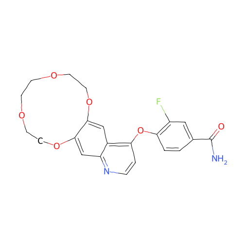 NC(=O)c1ccc(Oc2ccnc3cc4c(cc23)OCCOCCOCCO4)c(F)c1